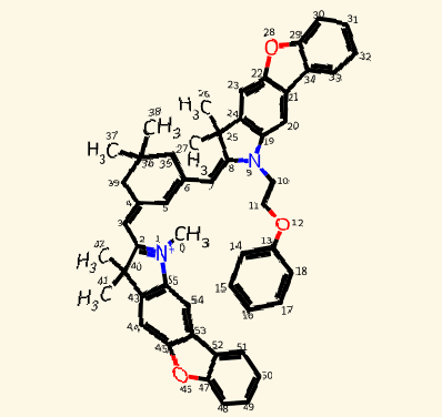 C[N+]1=C(C=C2C=C(C=C3N(CCOc4ccccc4)c4cc5c(cc4C3(C)C)oc3ccccc35)CC(C)(C)C2)C(C)(C)c2cc3oc4ccccc4c3cc21